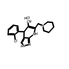 Cl.N#CC1=C(CN2CCCCC2)Nc2n[nH]cc2C1c1ccccc1Cl